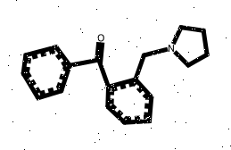 O=C(c1ccccc1)c1ccccc1CN1CCCC1